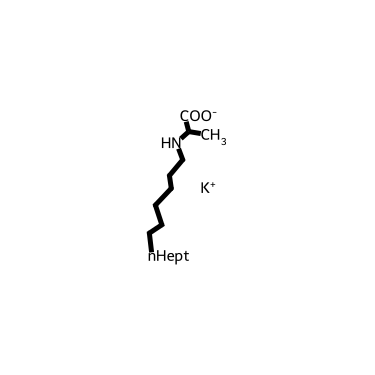 CCCCCCCCCCCCCNC(C)C(=O)[O-].[K+]